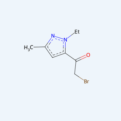 CCn1nc(C)cc1C(=O)CBr